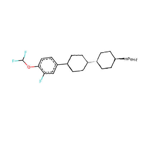 CCCCC[C@H]1CC[C@H](C2CCC(c3ccc(OC(F)F)c(F)c3)CC2)CC1